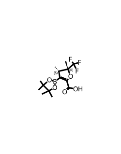 C[C@H]1C(B2OC(C)(C)C(C)(C)O2)=C(C(=O)O)O[C@@]1(C)C(F)(F)F